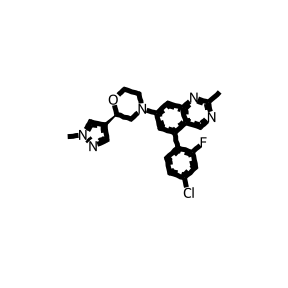 Cc1ncc2c(-c3ccc(Cl)cc3F)cc(N3CCO[C@H](c4cnn(C)c4)C3)cc2n1